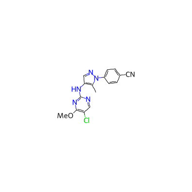 COc1nc(Nc2cnn(-c3ccc(C#N)cc3)c2C)ncc1Cl